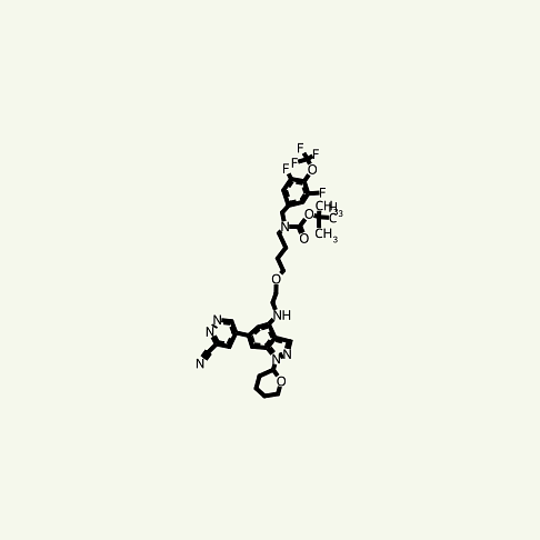 CC(C)(C)OC(=O)N(CCCCOCCNc1cc(-c2cnnc(C#N)c2)cc2c1cnn2C1CCCCO1)Cc1cc(F)c(OC(F)(F)F)c(F)c1